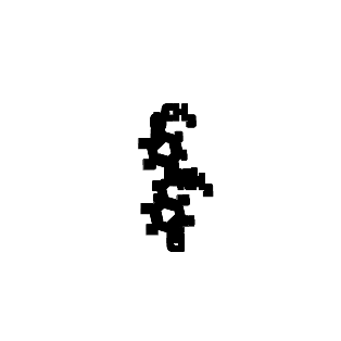 COc1ccc(N(N)Cc2ccc(Cl)cc2)cc1.Cl